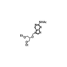 CCOCC(COCC)OCn1cnc2nc(NC(C)=O)ncc21